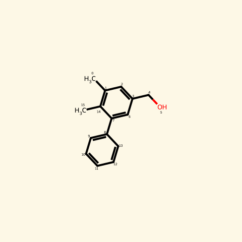 Cc1cc(CO)cc(-c2ccccc2)c1C